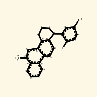 Fc1ccc(F)c(C2CCCc3c2ccc2c3cc(C(F)(F)F)c3ccccc32)c1